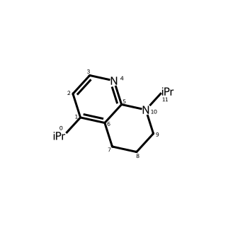 CC(C)c1ccnc2c1CCCN2C(C)C